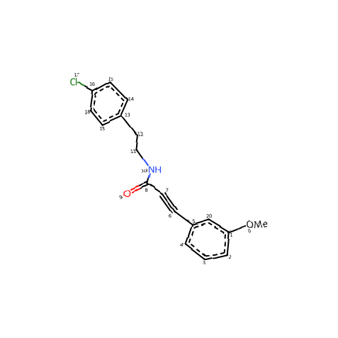 COc1cccc(C#CC(=O)NCCc2ccc(Cl)cc2)c1